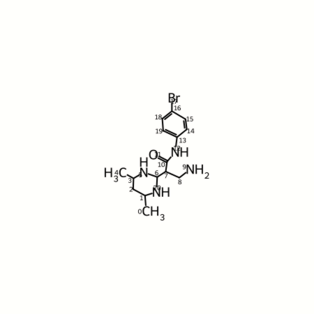 CC1CC(C)NC(C(CN)C(=O)Nc2ccc(Br)cc2)N1